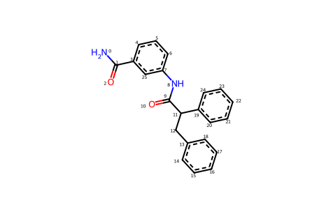 NC(=O)c1cccc(NC(=O)C(Cc2ccccc2)c2ccccc2)c1